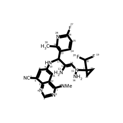 CNc1ncnc2c(C#N)cc(NC(/C(N)=C/N(N)C3(C(F)F)CC3)c3ccc(F)nc3C)cc12